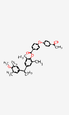 COc1c(C)cc(C(C)c2cc(C)c(OC(=O)c3ccc(Oc4ccc(C(C)=O)cc4)cc3)c(C)c2)cc1C